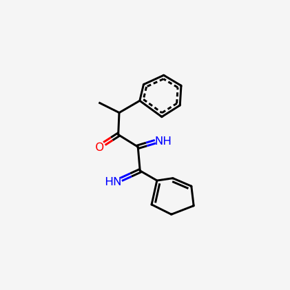 CC(C(=O)C(=N)C(=N)C1=CCCC=C1)c1ccccc1